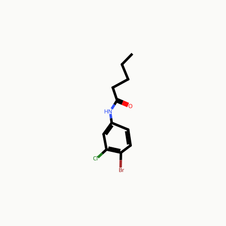 CCCCC(=O)Nc1ccc(Br)c(Cl)c1